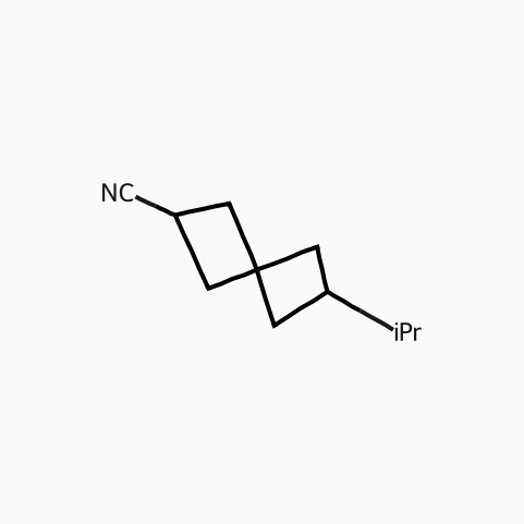 CC(C)C1CC2(CC(C#N)C2)C1